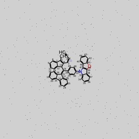 C#C/C=C\C1=C(C)c2ccccc2C1C(=C1c2ccccc2-c2ccccc21)c1ccc(-n2c3ccccc3c3oc4ccccc4c32)cc1